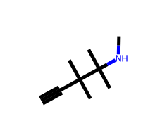 C#CC(C)(C)C(C)(C)NC